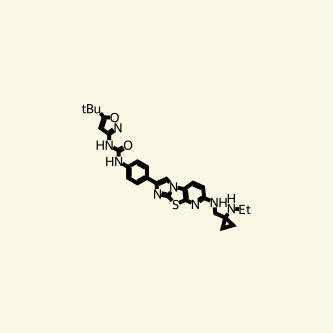 CCNC1(CNc2ccc3c(n2)sc2nc(-c4ccc(NC(=O)Nc5cc(C(C)(C)C)on5)cc4)cn23)CC1